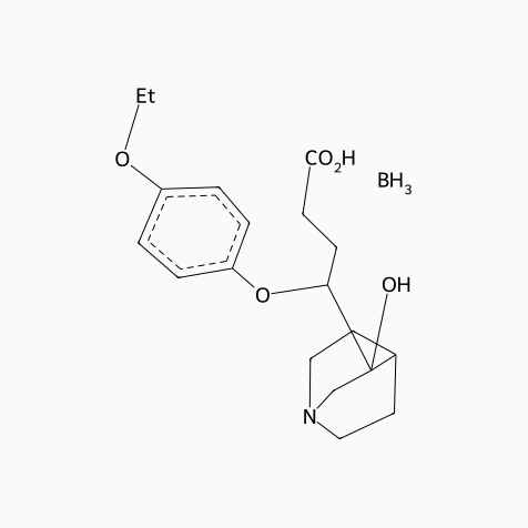 B.CCOc1ccc(OC(CCC(=O)O)C2(O)CN3CCC2CC3)cc1